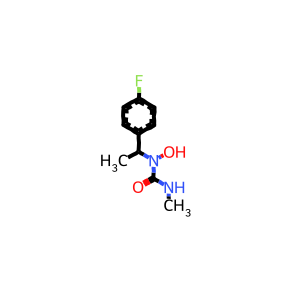 CNC(=O)N(O)C(C)c1ccc(F)cc1